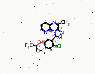 Cc1nc2cccnc2n2c(-c3cc(OC(C)C(F)(F)F)ccc3Cl)nnc12